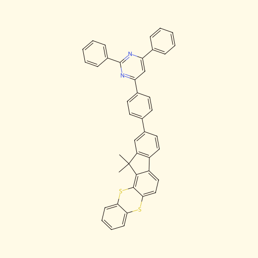 CC1(C)c2cc(-c3ccc(-c4cc(-c5ccccc5)nc(-c5ccccc5)n4)cc3)ccc2-c2ccc3c(c21)Sc1ccccc1S3